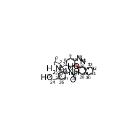 CCCC(N)(CC)c1ccc(/N=N\c2c(O)c(C(=O)Nc3ccc(CO)cc3)cc3ccccc23)cc1